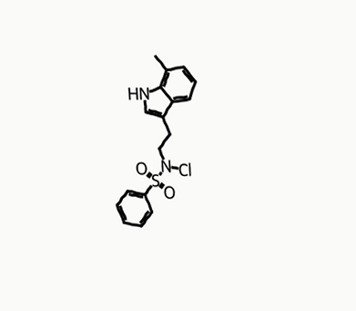 Cc1cccc2c(CCN(Cl)S(=O)(=O)c3ccccc3)c[nH]c12